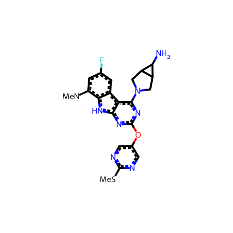 CNc1cc(F)cc2c1[nH]c1nc(Oc3cnc(SC)nc3)nc(N3CC4C(N)C4C3)c12